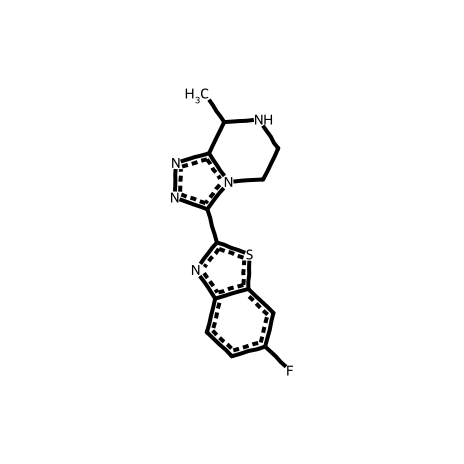 CC1NCCn2c(-c3nc4ccc(F)cc4s3)nnc21